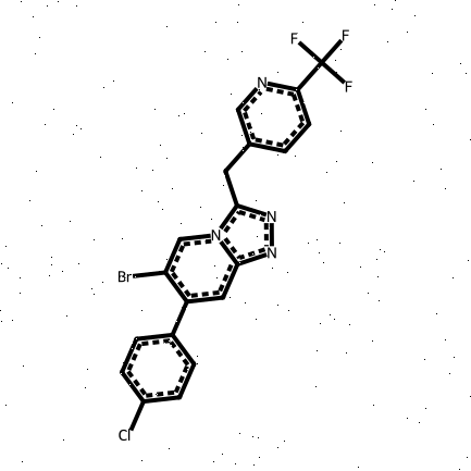 FC(F)(F)c1ccc(Cc2nnc3cc(-c4ccc(Cl)cc4)c(Br)cn23)cn1